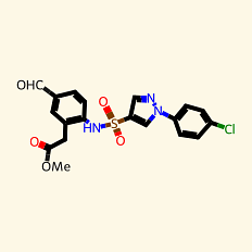 COC(=O)Cc1cc(C=O)ccc1NS(=O)(=O)c1cnn(-c2ccc(Cl)cc2)c1